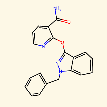 NC(=O)c1cccnc1Oc1nn(Cc2ccccc2)c2ccccc12